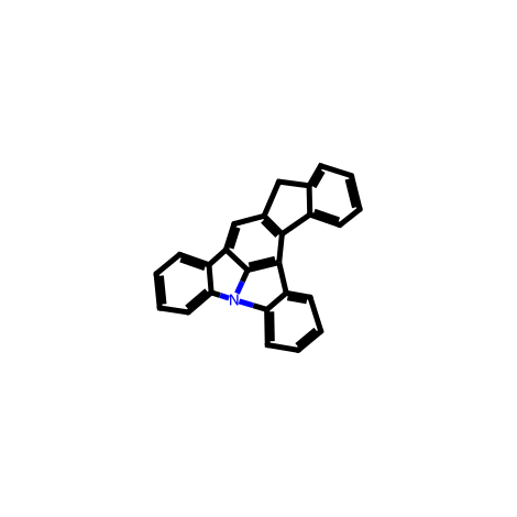 c1ccc2c(c1)Cc1cc3c4ccccc4n4c5ccccc5c(c1-2)c34